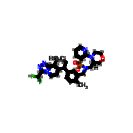 CCOC(=O)CC(c1ccc(C)c(CN2C[C@H]3COCCN3c3ncccc3S2(=O)=O)c1)c1ccn2c(C(F)F)nnc2c1C